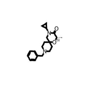 C[C@@H]1OC2(CCN(Cc3ccccc3)CC2)CN(C2CC2)C1=O